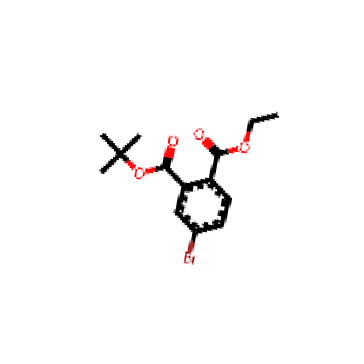 CCOC(=O)c1ccc(Br)cc1C(=O)OC(C)(C)C